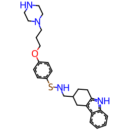 c1ccc2c3c([nH]c2c1)CCC(CNSc1ccc(OCCCN2CCNCC2)cc1)C3